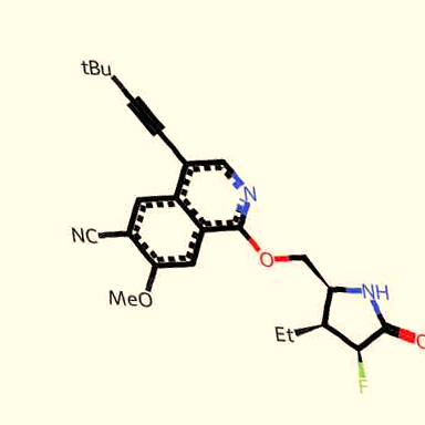 CC[C@@H]1[C@H](F)C(=O)N[C@@H]1COc1ncc(C#CC(C)(C)C)c2cc(C#N)c(OC)cc12